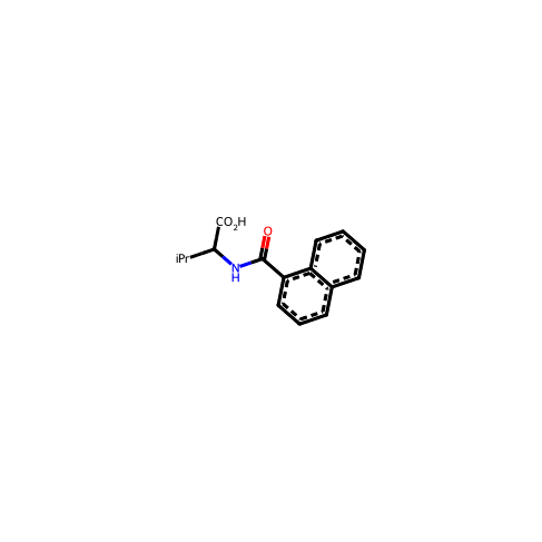 CC(C)C(NC(=O)c1cccc2ccccc12)C(=O)O